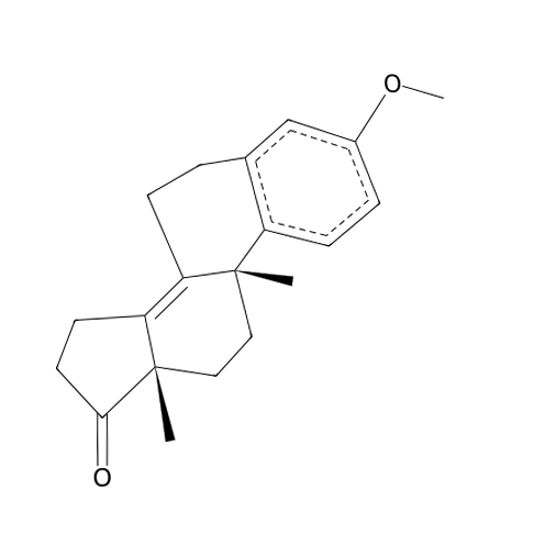 COc1ccc2c(c1)CCC1=C3CCC(=O)[C@@]3(C)CC[C@]12C